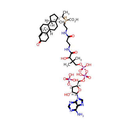 CC([C@H]1CC[C@H]2[C@@H]3CCC4=CC(=O)CC[C@]4(C)[C@H]3CC[C@]12C)[SH](CCNC(=O)CCNC(=O)C(O)C(C)(C)COP(=O)(O)OP(=O)(O)OC[C@H]1O[C@@H](n2cnc3c(N)ncnc32)[C@H](O)[C@@H]1OP(=O)(O)O)C(=O)O